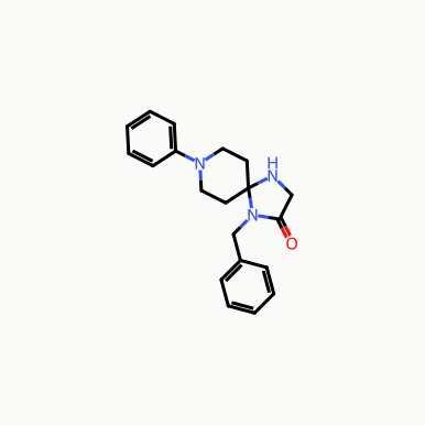 O=C1CNC2(CCN(c3ccccc3)CC2)N1Cc1ccccc1